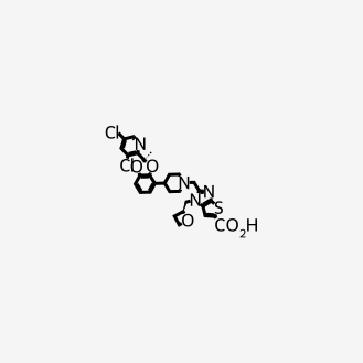 C[C@@]1(c2ncc(Cl)cc2Cl)Oc2cccc(C3CCN(Cc4nc5sc(C(=O)O)cc5n4C[C@@H]4CCO4)CC3)c2O1